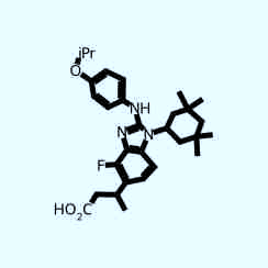 CC(C)Oc1ccc(Nc2nc3c(F)c(C(C)CC(=O)O)ccc3n2C2CC(C)(C)CC(C)(C)C2)cc1